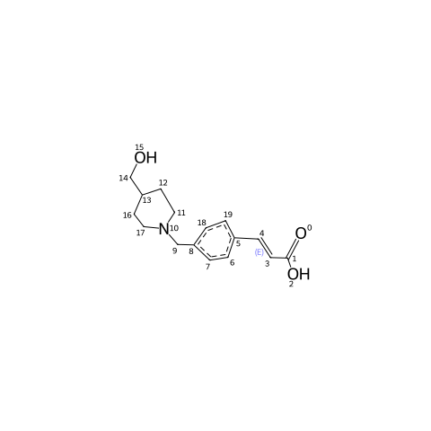 O=C(O)/C=C/c1ccc(CN2CCC(CO)CC2)cc1